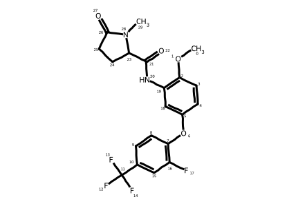 COc1ccc(Oc2ccc(C(F)(F)F)cc2F)cc1NC(=O)C1CCC(=O)N1C